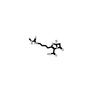 CNC(=S)NCCCCC1=C(C(=O)O)N2C(=O)C[C@@H]2S1